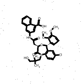 COc1cccc([C@H]2O[C@H](CC(=O)Nc3cc(C(=O)O)c4ccccc4c3)C(=O)N(CC(C)(C)CO)c3ccc(Cl)cc32)c1OC